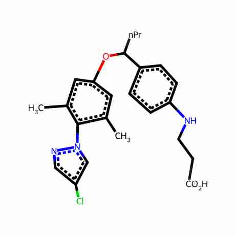 CCCC(Oc1cc(C)c(-n2cc(Cl)cn2)c(C)c1)c1ccc(NCCC(=O)O)cc1